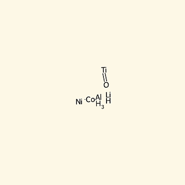 [AlH3].[Co].[LiH].[Ni].[O]=[Ti]